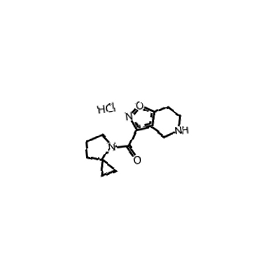 Cl.O=C(c1noc2c1CNCC2)N1CCCC12CC2